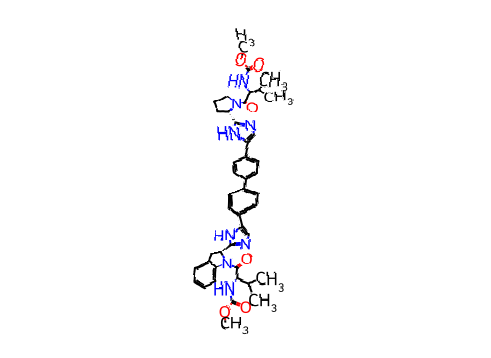 COC(=O)N[C@H](C(=O)N1CCC[C@H]1c1ncc(-c2ccc(-c3ccc(-c4cnc([C@@H]5Cc6ccccc6N5C(=O)[C@@H](NC(=O)OC)C(C)C)[nH]4)cc3)cc2)[nH]1)C(C)C